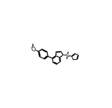 COc1ccc(-c2cccc3c2C=CC3[Si](C)(C)C2=CC=CC2)cc1